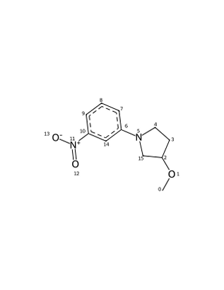 COC1CCN(c2cccc([N+](=O)[O-])c2)C1